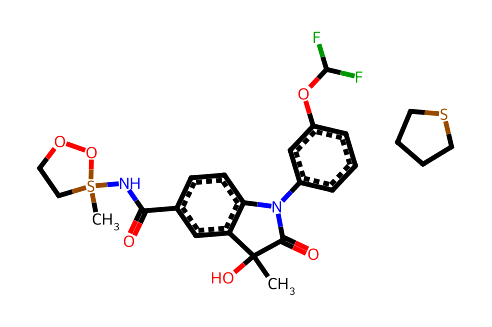 C1CCSC1.CC1(O)C(=O)N(c2cccc(OC(F)F)c2)c2ccc(C(=O)NS3(C)CCOO3)cc21